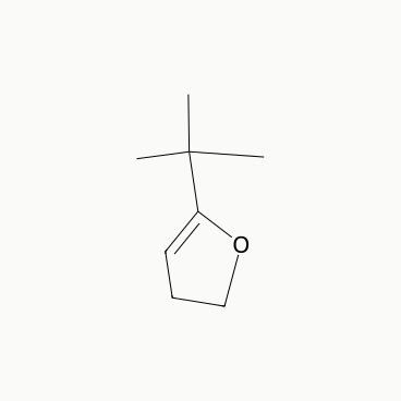 CC(C)(C)C1=CCCO1